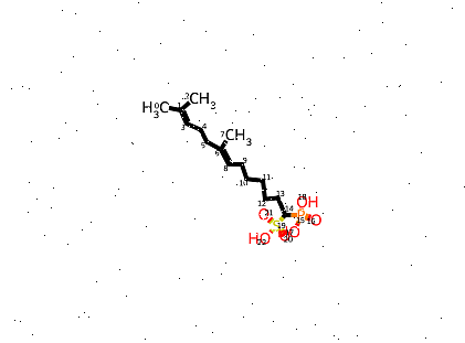 CC(C)=CCC/C(C)=C/CCCCCC(P(=O)(O)O)S(=O)(=O)O